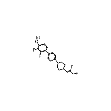 CCOc1ccc(-c2ccc(C3CCC(/C=C(\F)CF)CC3)cc2)c(F)c1F